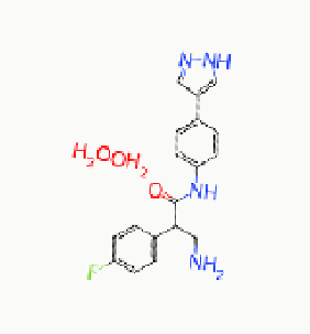 NCC(C(=O)Nc1ccc(-c2cn[nH]c2)cc1)c1ccc(F)cc1.O.O